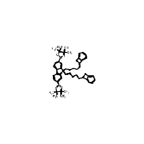 CC1(C)OB(c2ccc3c(c2)C(CCCCCC2Cc4ccccc42)(CCCCCC2Cc4ccccc42)c2cc(B4OC(C)(C)C(C)(C)O4)ccc2-3)OC1(C)C